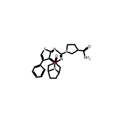 NC(=O)C1CCN(c2nc(N3C4CCC3CC(=O)C4)c3c(-c4ccccc4)csc3n2)C1